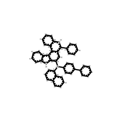 c1ccc(-c2ccc(N(c3cccc4ccccc34)c3cc4c(-c5ccccc5)nc5ccccc5c4c4c3sc3ccccc34)cc2)cc1